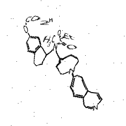 CCS(=O)(=O)[N+](C)(C1CCN(c2ccc3cnccc3c2)CC1)C1CCc2ccc(OC(=O)O)cc21